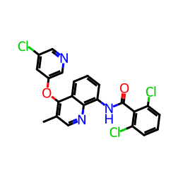 Cc1cnc2c(NC(=O)c3c(Cl)cccc3Cl)cccc2c1Oc1cncc(Cl)c1